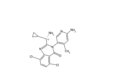 Cc1cc(N)ncc1-n1c([C@@H](N)C2CC2)nc2c(Cl)ccc(Cl)c2c1=O